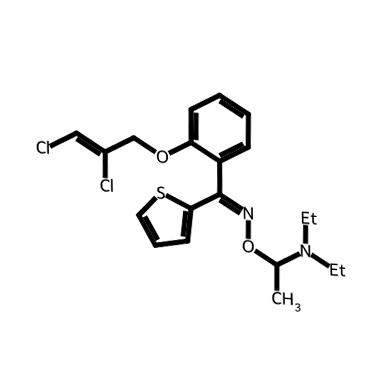 CCN(CC)C(C)ON=C(c1cccs1)c1ccccc1OCC(Cl)=CCl